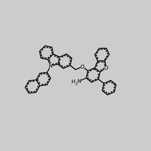 Nc1cc(-c2ccccc2)c2oc3ccccc3c2c1OCc1ccc2c3ccccc3n(-c3ccc4ccccc4c3)c2c1